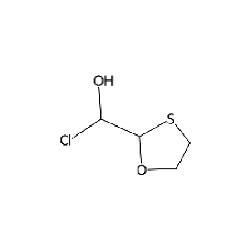 OC(Cl)C1OCCS1